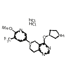 COc1ncc(N2CCc3ncnc(O[C@H]4CCNC4)c3C2)cc1C(F)(F)F.Cl.Cl